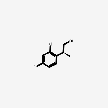 [CH2][C@H](CO)c1ccc(Cl)cc1Cl